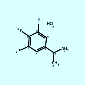 CC(N)c1cc(F)c(F)c(F)c1.Cl